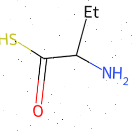 CCC(N)C(=O)S